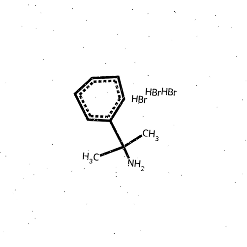 Br.Br.Br.CC(C)(N)c1ccccc1